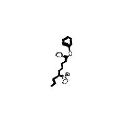 CCCC(CCCCC(=O)Oc1ccccc1)[N+](=O)[O-]